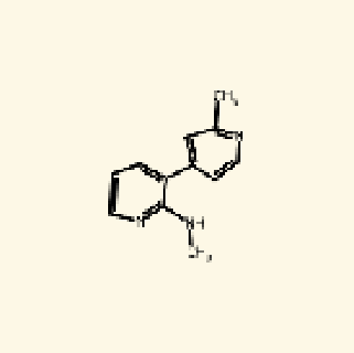 CNc1ncccc1-c1ccnc(C)c1